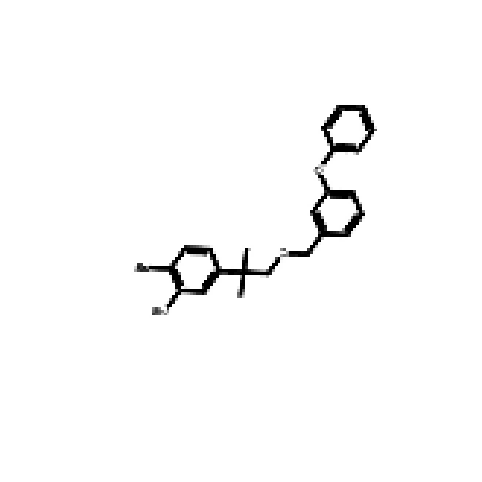 CC(C)(C)c1ccc(C(C)(C)COCc2cccc(Oc3ccccc3)c2)cc1C(C)(C)C